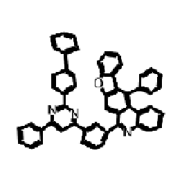 c1ccc(-c2ccc(-c3nc(-c4ccccc4)cc(-c4cccc(-c5nc6ccccc6c6c(-c7ccccc7)c7c(cc56)oc5ccccc57)c4)n3)cc2)cc1